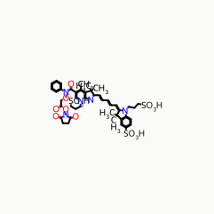 Cc1c(C(=O)N(OCC(=O)ON2C(=O)CCC2=O)c2ccccc2)c[n+](CCCS(=O)(=O)O)c2c1C(C)(C)C(/C=C/C=C/C=C1/N(CCCS(=O)(=O)O)c3ccc(S(=O)(=O)O)cc3C1(C)C)=N2